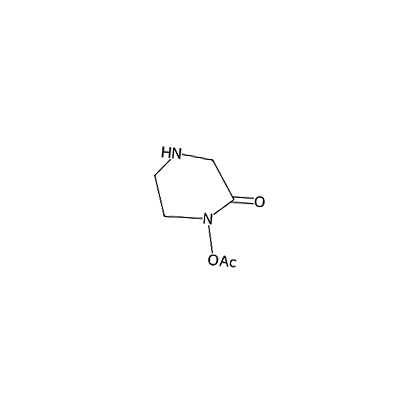 CC(=O)ON1CCNCC1=O